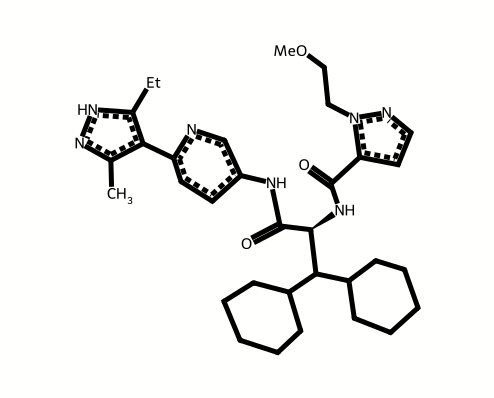 CCc1[nH]nc(C)c1-c1ccc(NC(=O)[C@@H](NC(=O)c2ccnn2CCOC)C(C2CCCCC2)C2CCCCC2)cn1